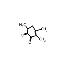 CC1=C(C)C(=O)C(=O)C(C)C1